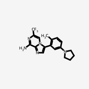 Cc1ccc(N2CCCC2)cc1-c1cnc2c(N)nc(C(F)(F)F)cn12